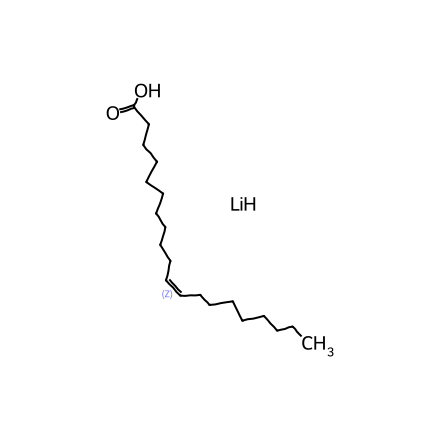 CCCCCCCC/C=C\CCCCCCCCCC(=O)O.[LiH]